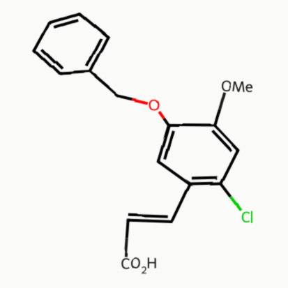 COc1cc(Cl)c(C=CC(=O)O)cc1OCc1ccccc1